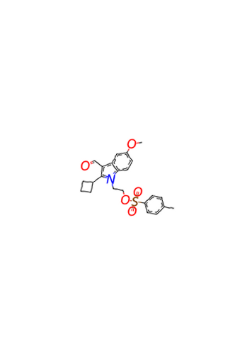 COc1ccc2c(c1)c(C=O)c(C1CCC1)n2CCOS(=O)(=O)c1ccc(C)cc1